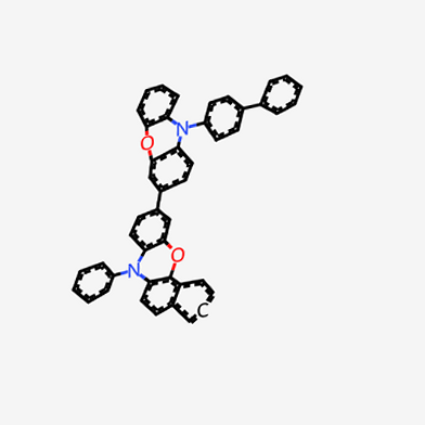 c1ccc(-c2ccc(N3c4ccccc4Oc4cc(-c5ccc6c(c5)Oc5c(ccc7ccccc57)N6c5ccccc5)ccc43)cc2)cc1